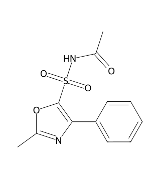 CC(=O)NS(=O)(=O)c1oc(C)nc1-c1ccccc1